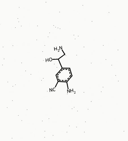 N#Cc1cc(C(O)CN)ccc1N